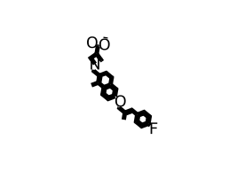 COC(=O)C1CN(CC2=C(C)c3ccc(OCC(C)=Cc4ccc(F)cc4)cc3CC2)C1